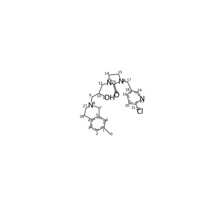 Cc1ccc2c(c1)CN(CC(O)CN1CCN(Cc3ccc(Cl)nc3)C1=O)CC2